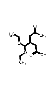 CCOC(OCC)C(CC(=O)O)CC(C)C